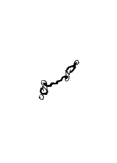 COC1CCN(C(=O)CCCCCCC(=O)N2CCC(OC)CC2)CC1